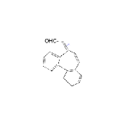 O=C/C=C1/C=CC2=C(CCC=C2)c2ccccc21